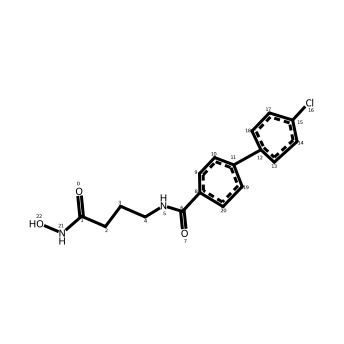 O=C(CCCNC(=O)c1ccc(-c2ccc(Cl)cc2)cc1)NO